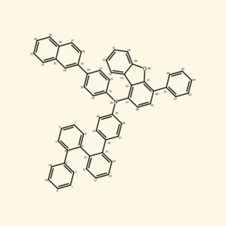 c1ccc(-c2ccccc2-c2ccccc2-c2ccc(N(c3ccc(-c4ccc5ccccc5c4)cc3)c3ccc(-c4ccccc4)c4oc5ccccc5c34)cc2)cc1